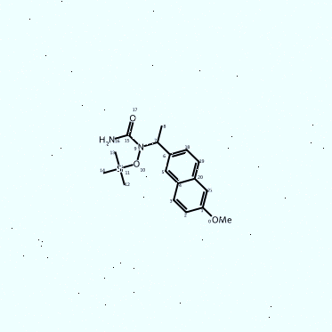 COc1ccc2cc(C(C)N(O[Si](C)(C)C)C(N)=O)ccc2c1